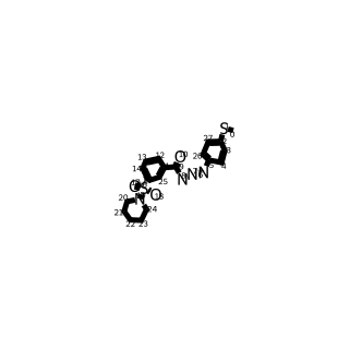 CSc1ccc(N=[N+]=NC(=O)c2cccc(S(=O)(=O)N3CCCCC3)c2)cc1